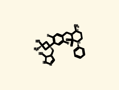 C[C@H]1CC[C@H](c2ccccc2)S(=O)(=O)N1Cc1cc(F)c([C@]2(CN3C=NNC3O)C[C@](C)(O)C2)cc1F